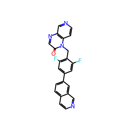 O=c1cnc2cnccc2n1Cc1c(F)cc(-c2ccc3ccncc3c2)cc1F